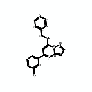 Brc1cccc(-c2cc(NCc3ccncc3)n3nccc3n2)c1